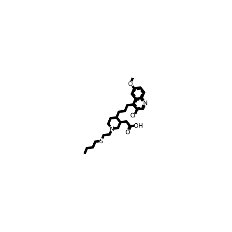 CCCCSCCN1CCC(CCCc2c(Cl)cnc3ccc(OC)cc23)C(CC(=O)O)C1